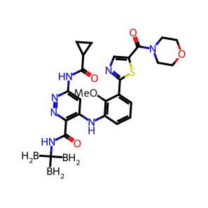 BC(B)(B)NC(=O)c1nnc(NC(=O)C2CC2)cc1Nc1cccc(-c2ncc(C(=O)N3CCOCC3)s2)c1OC